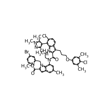 COC(=O)c1cc2cc(C)cc(N3C[C@@H](C)n4c(c(CCCOc5cc(C)c(Cl)c(C)c5)c5ccc(Cl)c(-c6c(C)nn(C)c6C)c54)C3=O)c2n1Cc1cc(Br)ccn1